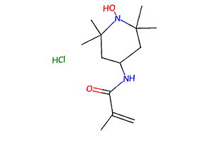 C=C(C)C(=O)NC1CC(C)(C)N(O)C(C)(C)C1.Cl